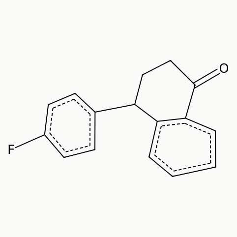 O=C1CCC(c2ccc(F)cc2)c2ccccc21